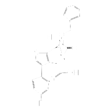 O=C(O)[C@@H]1c2c(-c3ccc(F)cc3)csc2[C@@H]2CN1C(=O)N2OCc1ccccc1